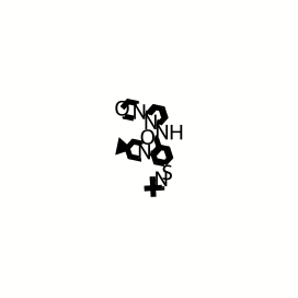 CC1(C)CN(Sc2ccc(C(=O)Nc3cccc(N4CCOCC4)n3)c(N3CCC4(CC3)CC4)c2)C1